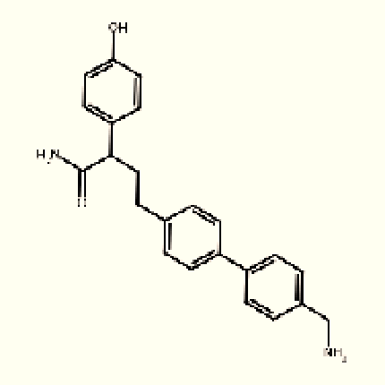 NCc1ccc(-c2ccc(CCC(C(N)=O)c3ccc(O)cc3)cc2)cc1